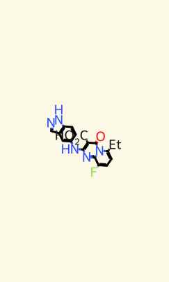 CCc1ccc(F)c2nc(Nc3ccc4[nH]ncc4c3)c(C(=O)O)c(=O)n12